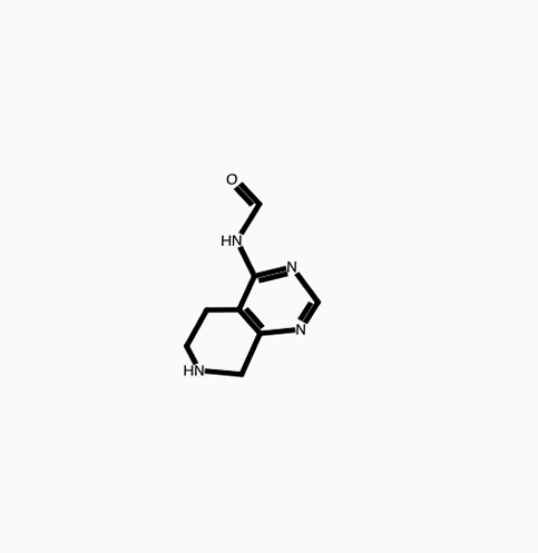 O=CNc1ncnc2c1CCNC2